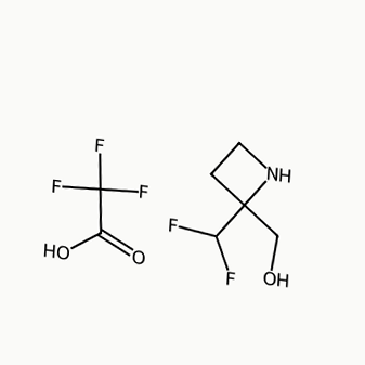 O=C(O)C(F)(F)F.OCC1(C(F)F)CCN1